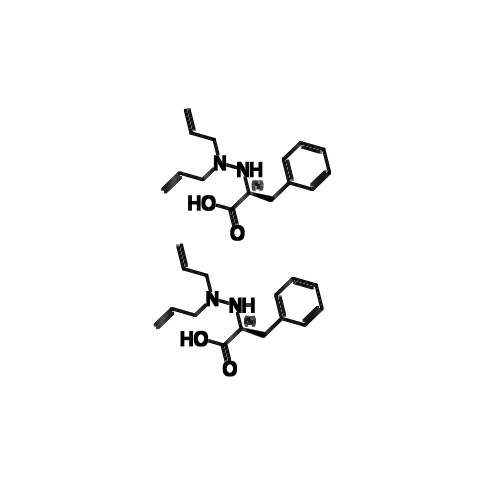 C=CCN(CC=C)N[C@@H](Cc1ccccc1)C(=O)O.C=CCN(CC=C)N[C@@H](Cc1ccccc1)C(=O)O